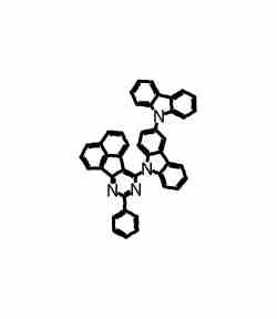 c1ccc(-c2nc3c(c(-n4c5ccccc5c5cc(-n6c7ccccc7c7ccccc76)ccc54)n2)-c2cccc4cccc-3c24)cc1